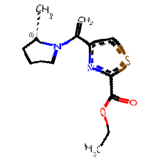 C=C(c1csc(C(=O)OCC)n1)N1CCC[C@@H]1C